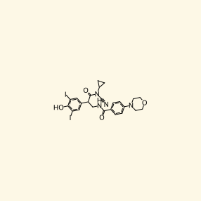 N#CN(C(=O)C(CNC(=O)c1ccc(N2CCOCC2)cc1)c1cc(I)c(O)c(I)c1)C1CC1